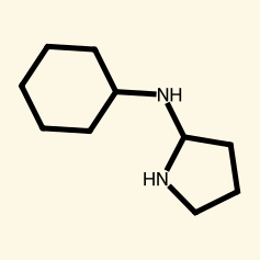 C1CCC(NC2CCCN2)CC1